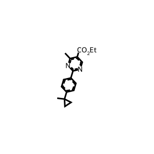 CCOC(=O)c1cnc(-c2ccc(C3(C)CC3)cc2)nc1C